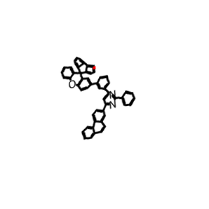 c1ccc(-c2nc(-c3cccc(-c4ccc5c(c4)C4(c6ccccc6O5)c5ccccc5-c5ccccc54)c3)cc(-c3ccc4c(ccc5ccccc54)c3)n2)cc1